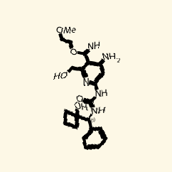 COCCOC(=N)c1c(N)cc(NC(=O)N[C@@H](c2ccccc2)C2(O)CCC2)nc1CO